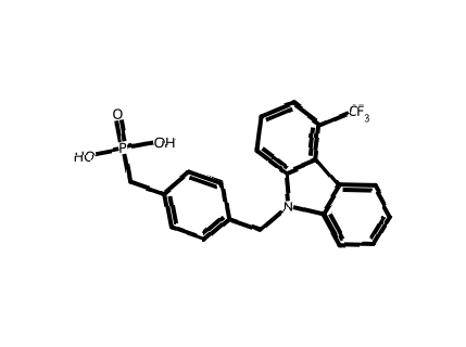 O=P(O)(O)Cc1ccc(Cn2c3ccccc3c3c(C(F)(F)F)cccc32)cc1